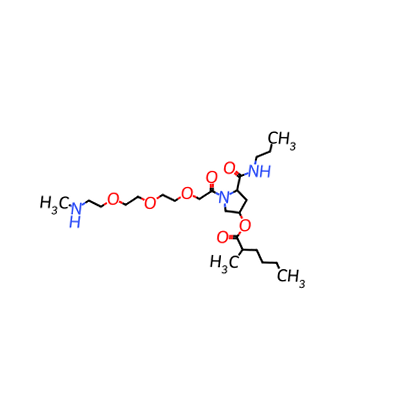 CCCCC(C)C(=O)OC1CC(C(=O)NCCC)N(C(=O)COCCOCCOCCNC)C1